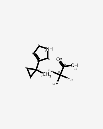 CC1(C2=CCNC2)CC1.O=C(O)C(F)(F)F